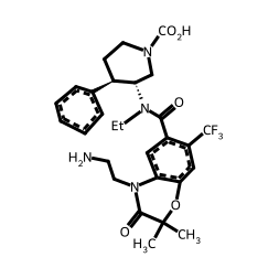 CCN(C(=O)c1cc2c(cc1C(F)(F)F)OC(C)(C)C(=O)N2CCN)[C@H]1CN(C(=O)O)CC[C@@H]1c1ccccc1